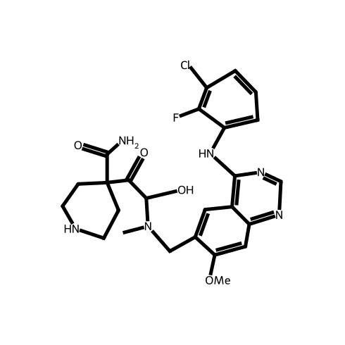 COc1cc2ncnc(Nc3cccc(Cl)c3F)c2cc1CN(C)C(O)C(=O)C1(C(N)=O)CCNCC1